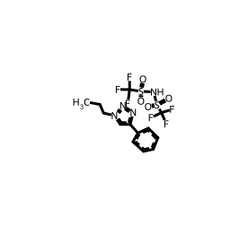 CCCn1cc(-c2ccccc2)nn1.O=S(=O)(NS(=O)(=O)C(F)(F)F)C(F)(F)F